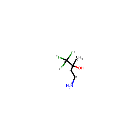 CC(O)(CCN)C(F)(F)F